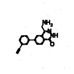 C#Cc1cccc(-c2ccc3c(=O)[nH]nc(CN)c3c2)c1